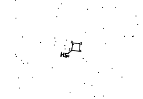 SC1[CH]CC1